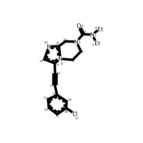 CCN(CC)C(=O)N1CCn2c(C#Cc3cccc(Cl)c3)cnc2C1